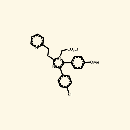 CCOC(=O)Cn1c(SCc2ccccn2)nc(-c2ccc(Cl)cc2)c1-c1ccc(OC)cc1